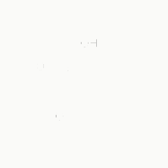 CCO[C@@H](CC(C)C)C(=O)O